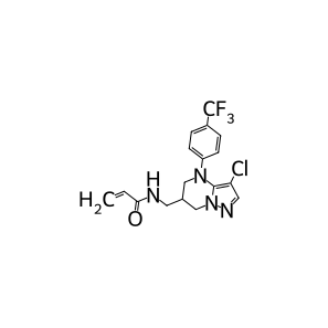 C=CC(=O)NCC1CN(c2ccc(C(F)(F)F)cc2)c2c(Cl)cnn2C1